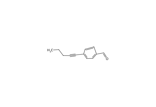 CCCC#Cc1ccc(C=O)cc1